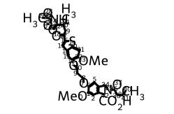 COc1cc2c(cc1OCCCOc1cc3cc(C(=O)C[C@H](C)C(=O)NS(C)(=O)=O)sc3cc1OC)CN(C(=O)C[C@H](C)C(=O)O)C2